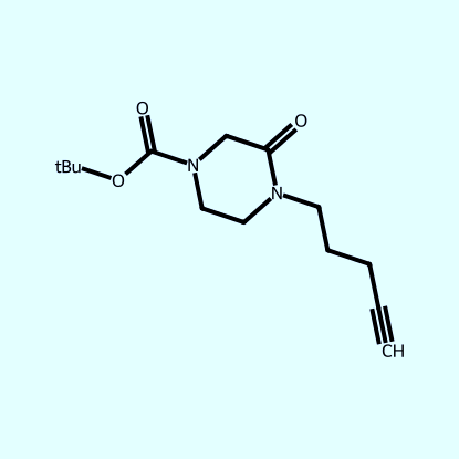 C#CCCCN1CCN(C(=O)OC(C)(C)C)CC1=O